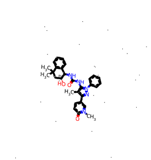 Cc1c(-c2ccc(=O)n(C)c2)nn(-c2ccccc2)c1NC(=O)NC1c2ccccc2C(C)(C)C[C@H]1O